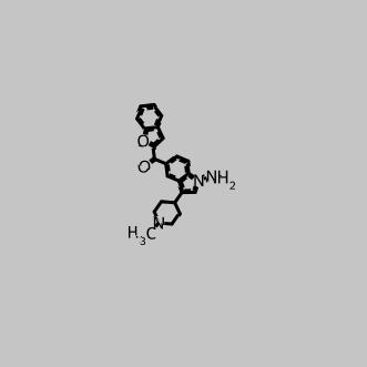 CN1CCC(c2cn(N)c3ccc(C(=O)c4cc5ccccc5o4)cc23)CC1